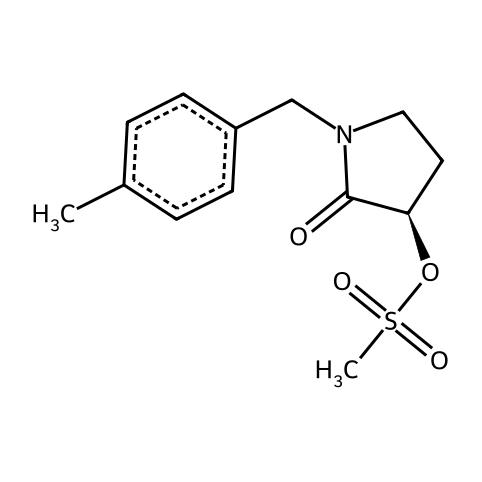 Cc1ccc(CN2CC[C@@H](OS(C)(=O)=O)C2=O)cc1